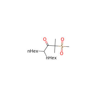 CCCCCCC(CCCCCC)C(=O)C(C)(C)S(C)(=O)=O